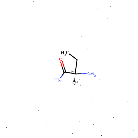 CC[C@@](C)(N)C([NH])=O